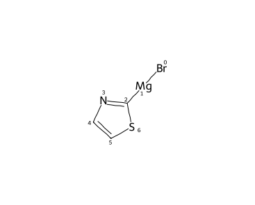 [Br][Mg][c]1nccs1